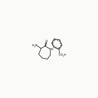 NC1CCCCNC1=O.O=C(O)c1ccccc1